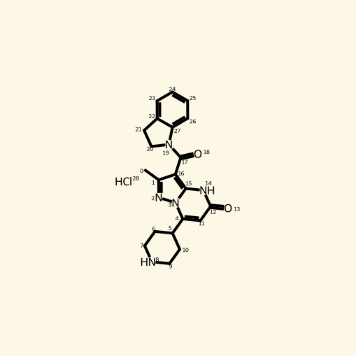 Cc1nn2c(C3CCNCC3)cc(=O)[nH]c2c1C(=O)N1CCc2ccccc21.Cl